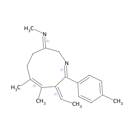 C/C=C1C(\c2ccc(C)cc2)=N/C/C(=N/C)CC/C(C)=C\1C